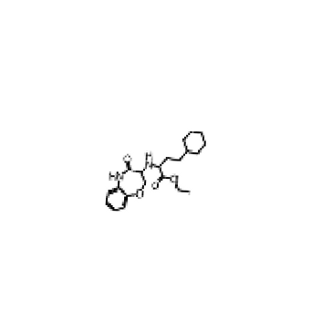 CCOC(=O)C(CCC1CCCCC1)NC1COc2ccccc2NC1=O